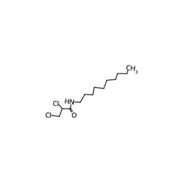 CCCCCCCCCCNC(=O)C(Cl)CCl